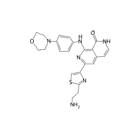 NCCc1nc(-c2cc3cc[nH]c(=O)c3c(Nc3ccc(N4CCOCC4)cc3)n2)cs1